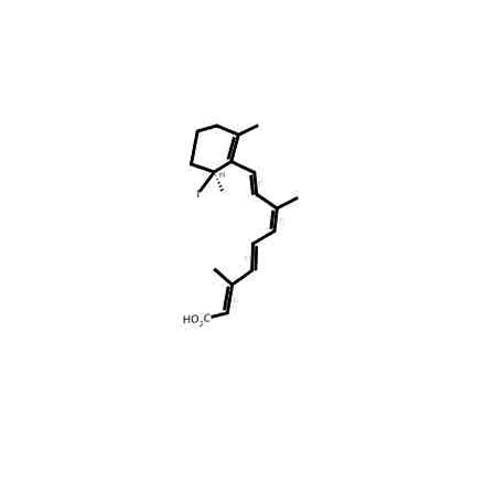 CC1=C(/C=C/C(C)=C\C=C\C(C)=C\C(=O)O)[C@@](C)(I)CCC1